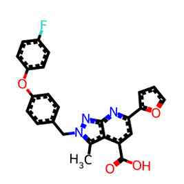 Cc1c2c(C(=O)O)cc(-c3ccco3)nc2nn1Cc1ccc(Oc2ccc(F)cc2)cc1